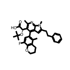 Cc1nc2c(cc(CCc3ccccc3)n2C)c(-c2cc(F)c3c(c2C)CCCO3)c1[C@H](OC(C)(C)C)C(=O)O